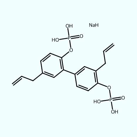 C=CCc1ccc(OP(=O)(O)O)c(-c2ccc(OP(=O)(O)O)c(CC=C)c2)c1.[NaH]